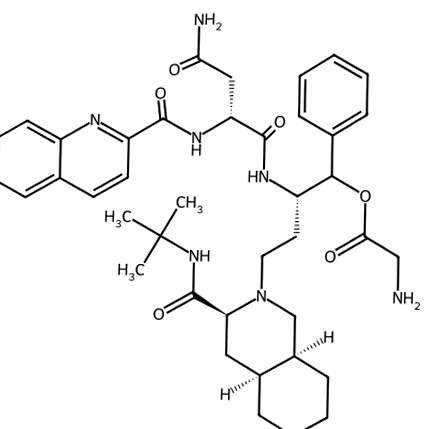 CC(C)(C)NC(=O)[C@@H]1C[C@@H]2CCCC[C@@H]2CN1CC[C@H](NC(=O)[C@@H](CC(N)=O)NC(=O)c1ccc2ccccc2n1)C(OC(=O)CN)c1ccccc1